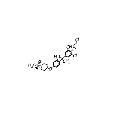 CC(C)(c1ccc(OC2CCN(S(C)(=O)=O)CC2)cc1)c1cc(Cl)c(OCCCl)c(C#N)c1